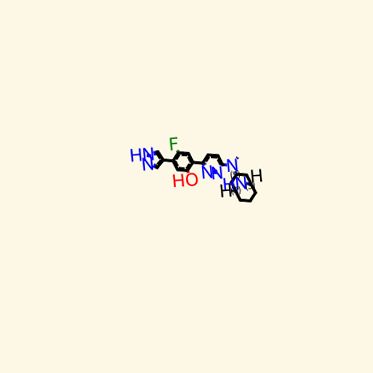 CN(c1ccc(-c2cc(F)c(-c3cn[nH]c3)cc2O)nn1)[C@@H]1C[C@H]2CCC[C@@H](C1)N2